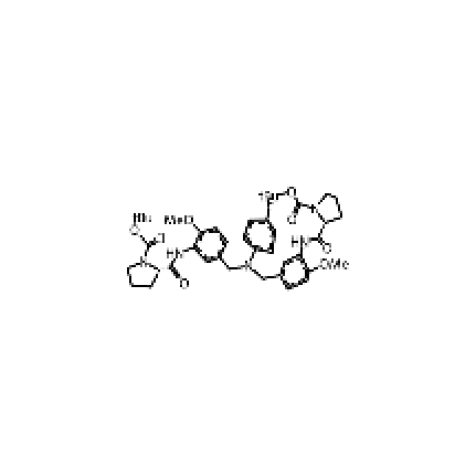 COc1ccc(CN(Cc2ccc(OC)c(NC(=O)[C@@H]3CCCN3C(=O)OC(C)(C)C)c2)c2ccc(F)cc2)cc1NC(=O)[C@@H]1CCCN1C(=O)OC(C)(C)C